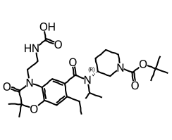 CCc1cc2c(cc1C(=O)N(C(C)C)[C@@H]1CCCN(C(=O)OC(C)(C)C)C1)N(CCNC(=O)O)C(=O)C(C)(C)O2